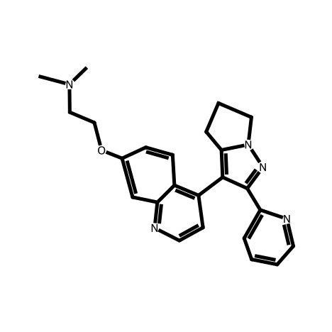 CN(C)CCOc1ccc2c(-c3c(-c4ccccn4)nn4c3CCC4)ccnc2c1